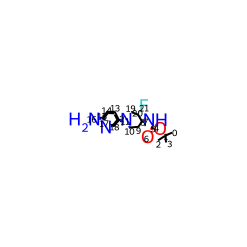 CC(C)(C)OC(=O)N[C@H]1CCN(c2ccc(N)nc2)C[C@@H]1F